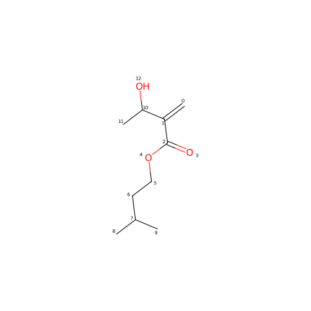 C=C(C(=O)OCCC(C)C)C(C)O